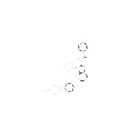 CN1CCN(c2ccc(Nc3ncc4nc(NC(=O)c5cccc(O)c5)n(C5CCCC5)c4n3)cc2)CC1